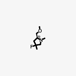 COC[C@@H]1CC(C)(F)CN1C